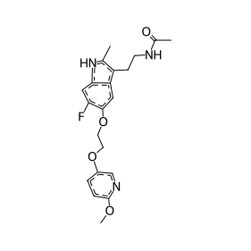 COc1ccc(OCCOc2cc3c(CCNC(C)=O)c(C)[nH]c3cc2F)cn1